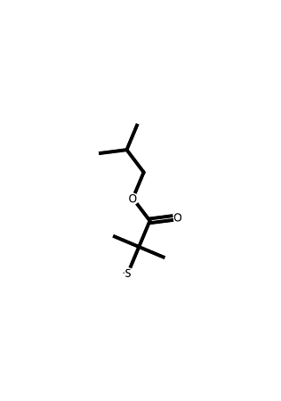 CC(C)COC(=O)C(C)(C)[S]